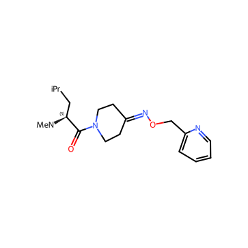 CN[C@@H](CC(C)C)C(=O)N1CCC(=NOCc2ccccn2)CC1